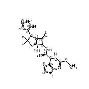 CC1(C)S[C@H]2C(NC(=O)C(NC(=O)CN)c3cccs3)C(=O)N2C1c1nnn[nH]1